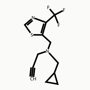 C#CCN(Cc1scnc1C(F)(F)F)CC1CC1